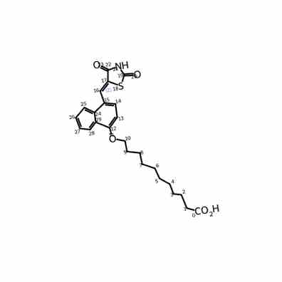 O=C(O)CCCCCCCCCCOc1ccc(/C=C2\SC(=O)NC2=O)c2ccccc12